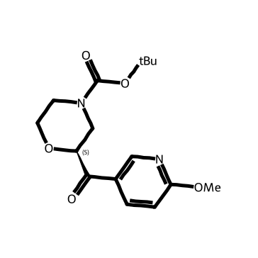 COc1ccc(C(=O)[C@@H]2CN(C(=O)OC(C)(C)C)CCO2)cn1